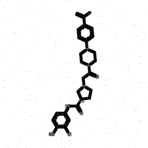 C=C(C)c1ccc(N2CCN(C(=O)CN3CC[C@@H](C(=O)Nc4ccc(O)c(Cl)c4)C3)CC2)cc1